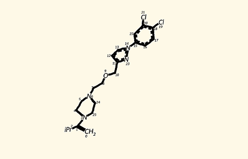 C=C(C(C)C)N1CCN(CCOCc2ccn(-c3ccc(Cl)c(Cl)c3)n2)CC1